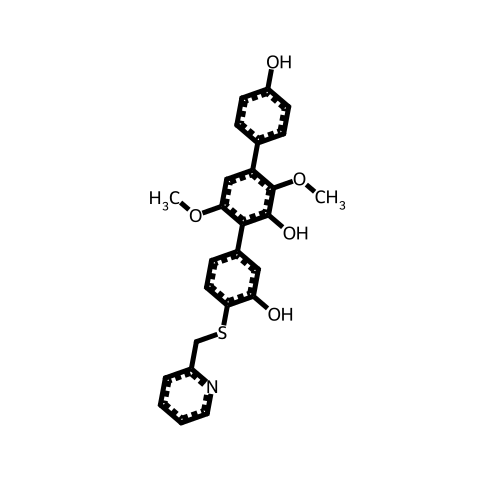 COc1cc(-c2ccc(O)cc2)c(OC)c(O)c1-c1ccc(SCc2ccccn2)c(O)c1